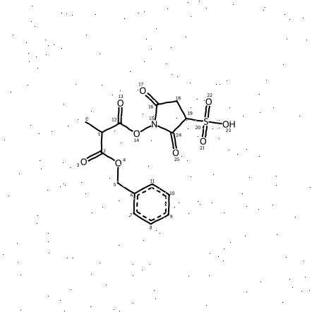 CC(C(=O)OCc1ccccc1)C(=O)ON1C(=O)CC(S(=O)(=O)O)C1=O